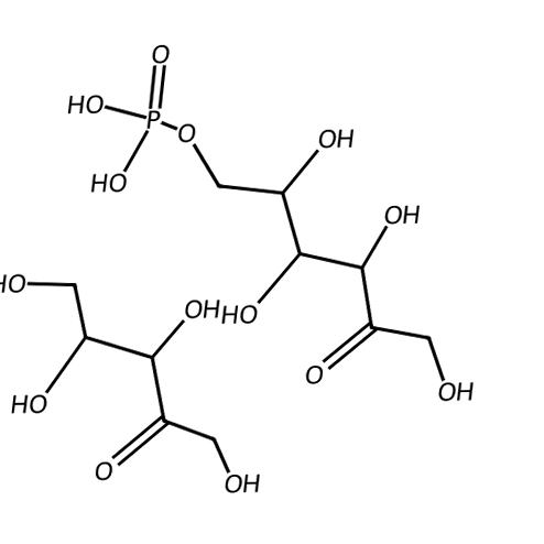 O=C(CO)C(O)C(O)C(O)COP(=O)(O)O.O=C(CO)C(O)C(O)CO